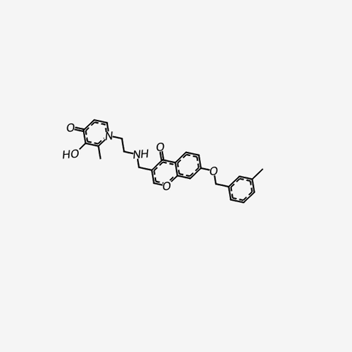 Cc1cccc(COc2ccc3c(=O)c(CNCCn4ccc(=O)c(O)c4C)coc3c2)c1